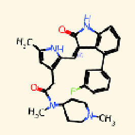 Cc1cc(CC(=O)N(C)C2CCN(C)CC2)c(/C=C2\C(=O)Nc3cccc(-c4cccc(F)c4)c32)[nH]1